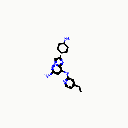 CCc1ccnc(Nc2cc(N)nn3cc([C@H]4CC[C@H](N)CC4)nc23)c1